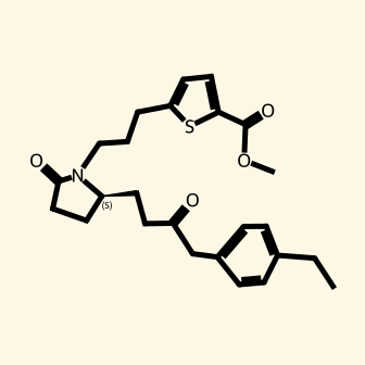 CCc1ccc(CC(=O)CC[C@H]2CCC(=O)N2CCCc2ccc(C(=O)OC)s2)cc1